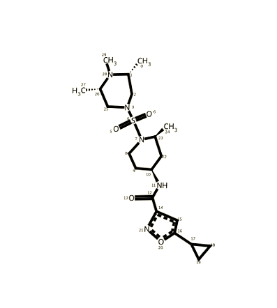 C[C@@H]1CN(S(=O)(=O)N2CC[C@H](NC(=O)c3cc(C4CC4)on3)C[C@@H]2C)C[C@H](C)N1C